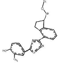 CCONC1CCc2c(-c3noc(-c4ccc(O)c(C#N)c4)n3)cccc21